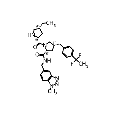 CC[C@H]1CN[C@@H](C(=O)N2C[C@H](Cc3ccc(C(C)(F)F)cc3)C[C@H]2C(=O)NCc2ccc3c(c2)nnn3C)C1